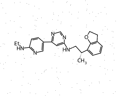 CCNc1ccc(-c2cc(NC[C@@H](C)c3cccc4c3OCC4)ncn2)cn1